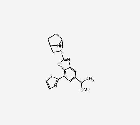 COC(C)c1cc(-c2nccs2)c2oc(N3CC4CCC(C3)N4)nc2c1